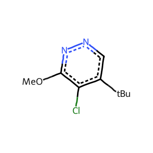 COc1nncc(C(C)(C)C)c1Cl